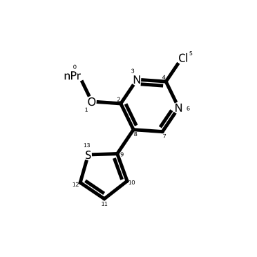 CCCOc1nc(Cl)ncc1-c1cccs1